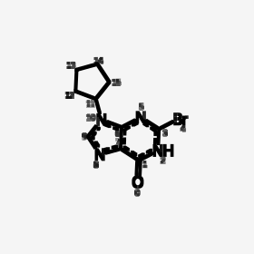 O=c1[nH]c(Br)nc2c1ncn2C1CCCC1